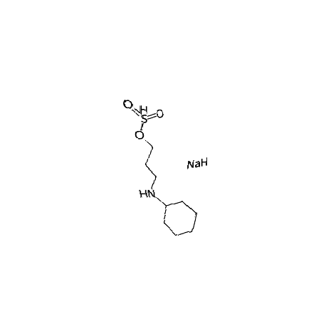 O=[SH](=O)OCCCNC1CCCCC1.[NaH]